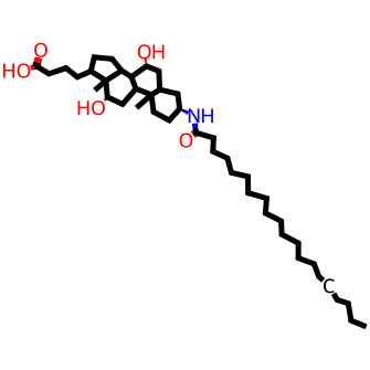 CCCCCCCCCCCCCCCCCCCC(=O)N[C@H]1CCC2(C)C(C1)C[C@@H](O)C1C2C[C@H](O)C2(C)C(CCCC(=O)O)CCC12